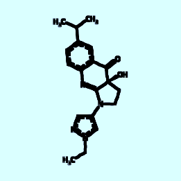 CCn1cc(N2CC[C@@]3(O)C(=O)c4cc(C(C)C)ccc4N=C23)cn1